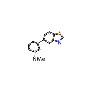 CNc1cccc(-c2ccc3scnc3c2)c1